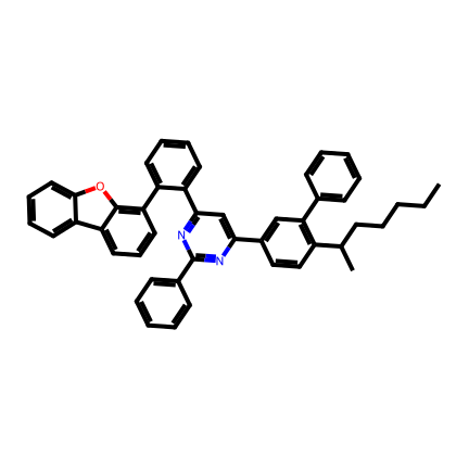 CCCCCC(C)c1ccc(-c2cc(-c3ccccc3-c3cccc4c3oc3ccccc34)nc(-c3ccccc3)n2)cc1-c1ccccc1